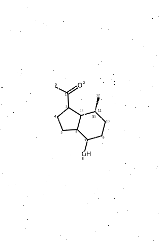 CC(=O)C1CCC2C(O)CC[C@H](C)C12